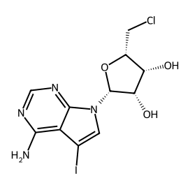 Nc1ncnc2c1c(I)cn2[C@@H]1O[C@H](CCl)[C@H](O)[C@@H]1O